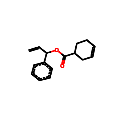 C=CC(OC(=O)C1CC=CCC1)c1ccccc1